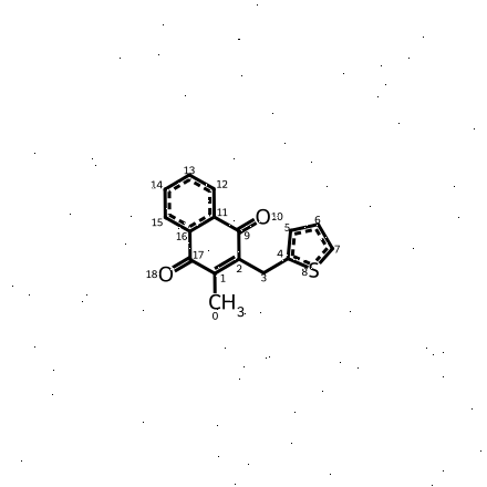 CC1=C(Cc2cccs2)C(=O)c2ccccc2C1=O